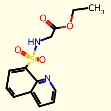 CCOC(=O)CNS(=O)(=O)c1cccc2cccnc12